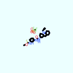 C#CC[n+]1c2c(cc3cc(NC(=O)Nc4cccc(NC(=S)OCC)c4)ccc31)CCCC2.O=S(=O)([O-])C(F)(F)F